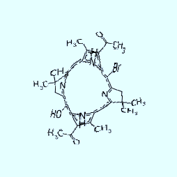 CC(=O)c1c(C)c2cc3nc(c(Br)c4[nH]c(cc5nc(c(O)c1[nH]2)CC5(C)C)c(C)c4C(C)=O)CC3(C)C